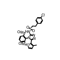 COc1cccc(OC)c1-n1c(NS(=O)(=O)CCc2ccc(Cl)cc2)nnc1-c1occc1C